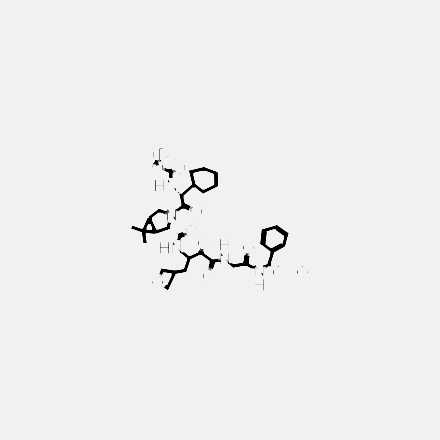 CC(C)(C)OC(=O)N[C@H](C(=O)N1CC2C([C@H]1C(=O)NC(CC1COC1)C(=O)C(=O)NCC(=O)N[C@H](C=O)c1ccccc1)C2(C)C)C1CCCCC1